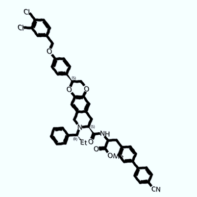 CC[C@H](c1ccccc1)N1Cc2cc3c(cc2C[C@H]1C(=O)NC(Cc1ccc(-c2ccc(C#N)cc2)cc1)C(=O)OC)OC[C@H](c1ccc(OCc2ccc(Cl)c(Cl)c2)cc1)O3